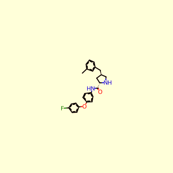 Cc1cccc(C[C@H]2CN[C@H](C(=O)Nc3ccc(Oc4ccc(F)cc4)cc3)C2)c1